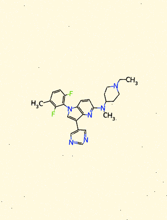 CCN1CCC(N(C)c2ccc3c(n2)c(-c2cncnc2)cn3-c2c(F)ccc(C)c2F)CC1